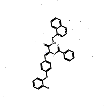 O=C(NCc1cccc2ccccc12)/C(=C/c1ccc(Oc2ccccc2Br)cc1)NC(=O)c1ccccc1